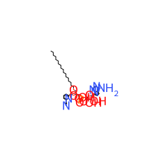 CCCCCCCCCCCCCCCCCCOC[C@H](COP(=O)(O)O[C@H]1[C@]2(O)[C@@H](O)[C@@H](c3ccc4c(N)ncnn34)O[C@]12C)OCc1cccc(C#N)n1